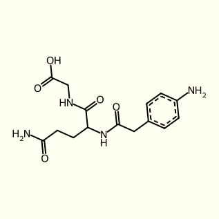 NC(=O)CCC(NC(=O)Cc1ccc(N)cc1)C(=O)NCC(=O)O